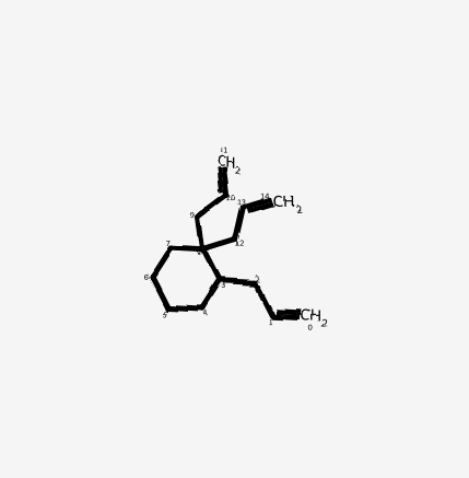 C=CC[C]1CCCCC1(CC=C)CC=C